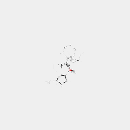 NC(=O)C12CC3CC(C1)C(NC(=O)c1ccc(Br)o1)C(C3)C2